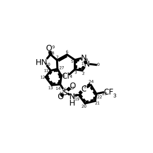 Cn1cc(Cl)c(C=C2C(=O)Nc3ccc(S(=O)(=O)Nc4ccc(C(F)(F)F)cc4)cc32)n1